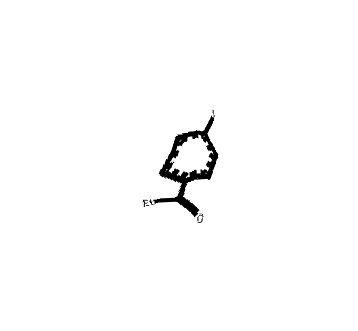 CCC(=O)c1ccc(I)cc1